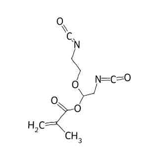 C=C(C)C(=O)OC(CN=C=O)OCCN=C=O